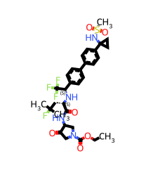 CCOC(=O)N1CC(=O)C(NC(=O)[C@H](CC(C)(C)F)N[C@@H](c2ccc(-c3ccc(C4(NS(C)(=O)=O)CC4)cc3)cc2)C(F)(F)F)C1